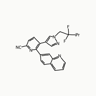 CC(C)C(F)(F)Cn1cc(-c2ccc(C#N)nc2-c2ccc3cccnc3c2)cn1